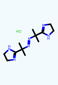 CC(C)(N=NC(C)(C)C1=NCCN1)C1=NCCN1.Cl